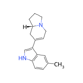 Cc1ccc2[nH]cc(C3=CCN4CCC[C@H]4C3)c2c1